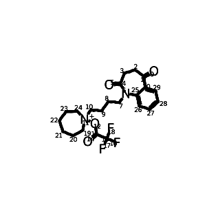 O=C1CCC(=O)N(CCCC[N+]2(OC(=O)C(F)(F)F)CCCCCC2)c2ccccc21